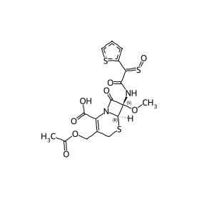 CO[C@@]1(NC(=O)C(=S=O)c2cccs2)C(=O)N2C(C(=O)O)=C(COC(C)=O)CS[C@@H]21